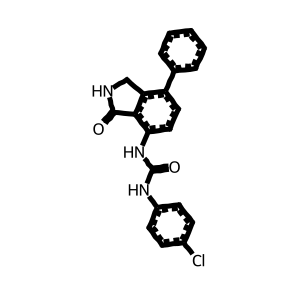 O=C(Nc1ccc(Cl)cc1)Nc1ccc(-c2ccccc2)c2c1C(=O)NC2